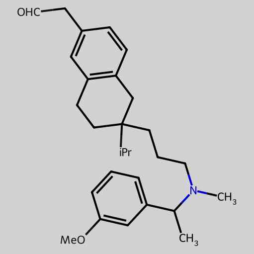 COc1cccc(C(C)N(C)CCCC2(C(C)C)CCc3cc(CC=O)ccc3C2)c1